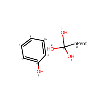 CCCCCC(O)(O)O.Oc1ccccc1